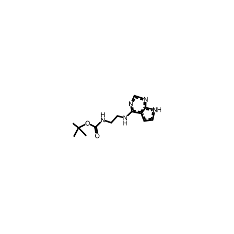 CC(C)(C)OC(=O)NCCNc1ncnc2[nH]ccc12